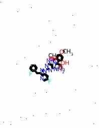 COC(=O)N(c1c(N)nc(-n2nc(Cc3ccccc3F)c3ncc(F)cc32)nc1N)C(C)(C(=O)O)c1ccc(OC)cc1